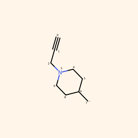 C#CCN1CCC([CH2])CC1